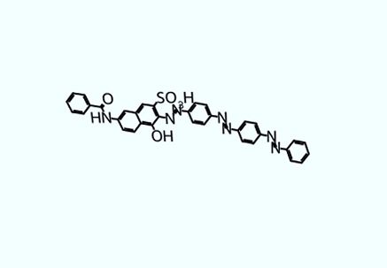 O=C(Nc1ccc2c(O)c(N=Nc3ccc(N=Nc4ccc(N=Nc5ccccc5)cc4)cc3)c(S(=O)(=O)O)cc2c1)c1ccccc1